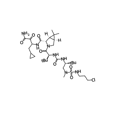 CN(C[C@@H](NC(=O)N[C@H](C(=O)N1C[C@H]2[C@@H]([C@H]1C(=O)NC(CC1CC1)C(=O)C(N)=O)C2(C)C)C(C)(C)C)C(C)(C)C)S(=O)(=O)NCCCCl